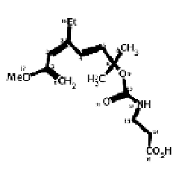 C=C(/C=C(\C=C\C(C)(C)OC(=O)NCCC(=O)O)CC)OC